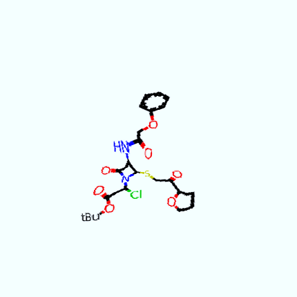 CC(C)(C)OC(=O)C(Cl)N1C(=O)[C@@H](NC(=O)COc2ccccc2)[C@H]1SCC(=O)C1CCCO1